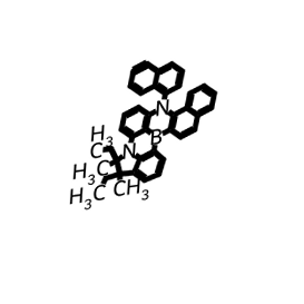 CCC1(C)c2cccc3c2N(c2cccc4c2B3c2ccc3ccccc3c2N4c2cccc3c#cccc23)C1(C)CC